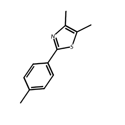 Cc1ccc(-c2nc(C)c(C)s2)cc1